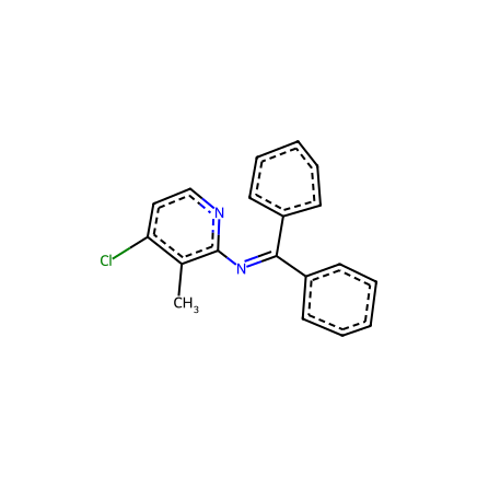 Cc1c(Cl)ccnc1N=C(c1ccccc1)c1ccccc1